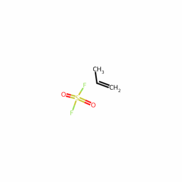 C=CC.O=S(=O)(F)F